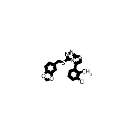 Cc1c(Cl)cccc1-c1csc2nnc(SCc3ccc4c(c3)OCO4)n12